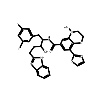 CCCCN1CCSc2c(-c3ncco3)cc(C(=O)NC(Cc3cc(F)cc(F)c3)C(O)CCc3nc4ccccc4[nH]3)cc21